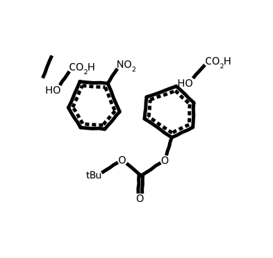 CC.CC(C)(C)OC(=O)Oc1ccccc1.O=C(O)O.O=C(O)O.O=[N+]([O-])c1ccccc1